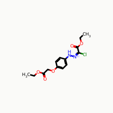 CCOC(=O)COc1ccc(N/N=C(/Cl)C(=O)OCC)cc1